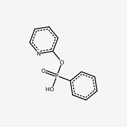 O=P(O)(Oc1ccccn1)c1ccccc1